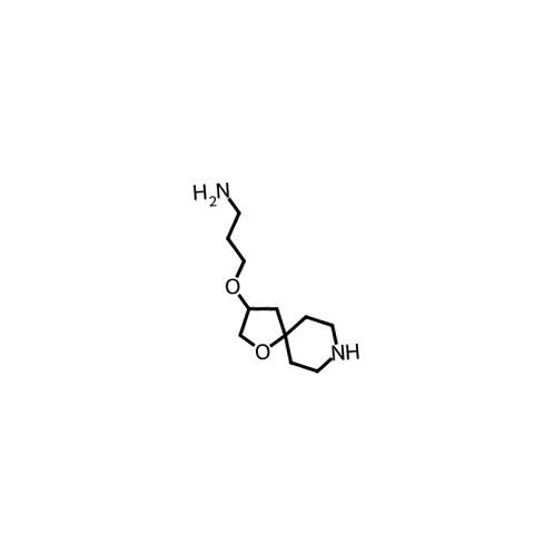 NCCCOC1COC2(CCNCC2)C1